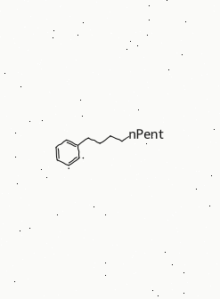 CCCCCCCCCc1[c][c]ccc1